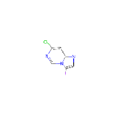 Clc1cc2ncc(I)n2cn1